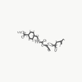 CC(C)CC(=O)OC(C)OC(=O)NCC1CCC(C(=O)O)CC1